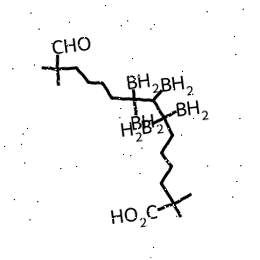 BC(C(B)(B)CCCCC(C)(C)C=O)C(B)(B)CCCCC(C)(C)C(=O)O